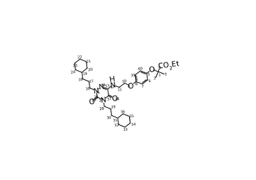 CCOC(=O)C(C)(C)Oc1ccc(OCCNc2nn(CCCC3CCCCC3)c(=O)n(CCCC3CCCCC3)c2=O)cc1